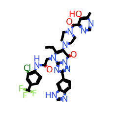 CCc1c(N2CCN(C(=O)c3ncnc(C)c3O)CC2)c(=O)n2nc(-c3ccc4nc[nH]c4c3)nc2n1CC(=O)Nc1ccc(C(F)(F)F)cc1Cl